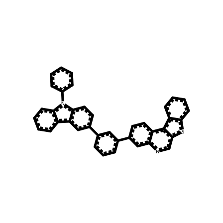 c1ccc(-n2c3ccccc3c3cc(-c4cccc(-c5ccc6c(c5)ncc5sc7ccccc7c56)c4)ccc32)cc1